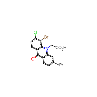 CC(C)c1ccc2c(=O)c3ccc(Cl)c(Br)c3n(CC(=O)O)c2c1